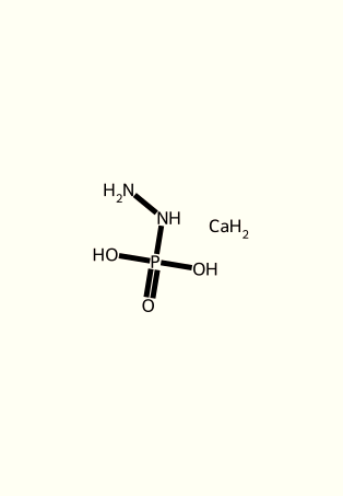 NNP(=O)(O)O.[CaH2]